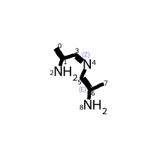 C=C(N)/C=N\C=C(/C)N